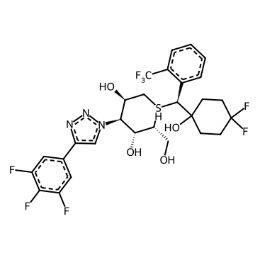 OC[C@@H]1[C@H](O)[C@@H](n2cc(-c3cc(F)c(F)c(F)c3)nn2)[C@@H](O)C[SH]1[C@@H](c1ccccc1C(F)(F)F)C1(O)CCC(F)(F)CC1